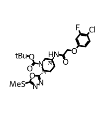 CSc1nnc([C@H]2CC[C@H](NC(=O)COc3ccc(Cl)c(F)c3)CN2C(=O)OC(C)(C)C)o1